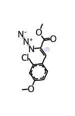 COC(=O)/C(=C/c1ccc(OC)cc1Cl)N=[N+]=[N-]